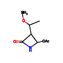 CC(=O)OC1NC(=O)C1C(C)O[SiH3]